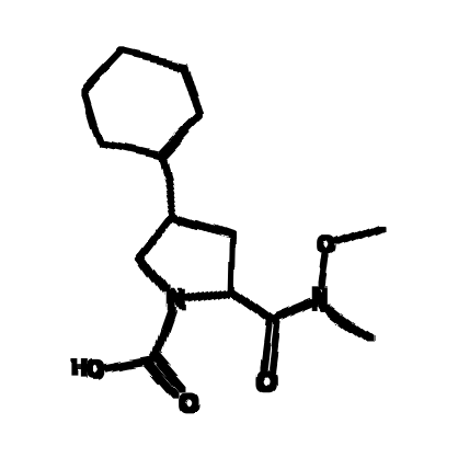 CON(C)C(=O)C1CC(C2CCCCC2)CN1C(=O)O